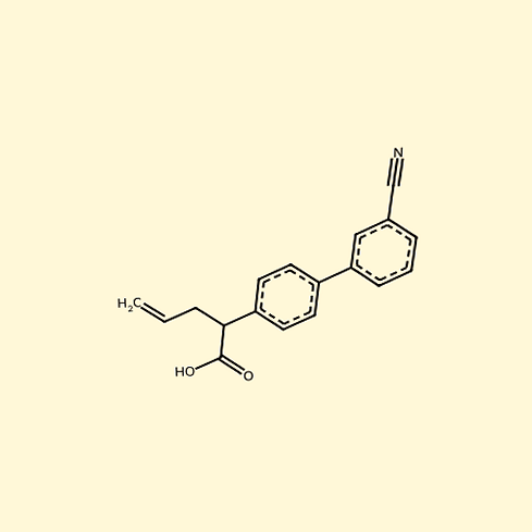 C=CCC(C(=O)O)c1ccc(-c2cccc(C#N)c2)cc1